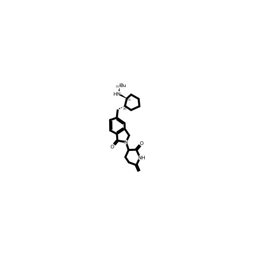 C=C1CCC(N2Cc3cc(C[C@H]4CCCC[C@@H]4N[C@@H](C)CC)ccc3C2=O)C(=O)N1